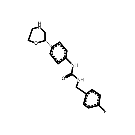 O=C(NCc1ccc(F)cc1)Nc1ccc([C@H]2CNCCO2)cc1